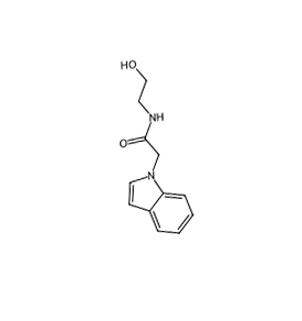 O=C(Cn1ccc2ccccc21)NCCO